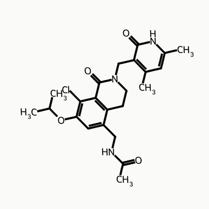 CC(=O)NCc1cc(OC(C)C)c(Cl)c2c1CCN(Cc1c(C)cc(C)[nH]c1=O)C2=O